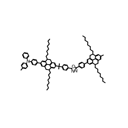 CCCCCCCCC1Cc2cc(-c3ccc(-c4nnc(-c5ccc(C(C)(C)c6cc7c8c(c6)C(CCCCCCCC)Cc6cc(-c9ccc(N(c%10ccccc%10)c%10ccc(C)cc%10)cc9)cc(c6-8)C(CCCCCCCC)C7)cc5)o4)cc3)cc3c2-c2c(cc(C)cc21)CC3CCCCCCCC